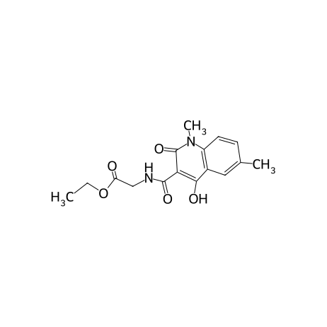 CCOC(=O)CNC(=O)c1c(O)c2cc(C)ccc2n(C)c1=O